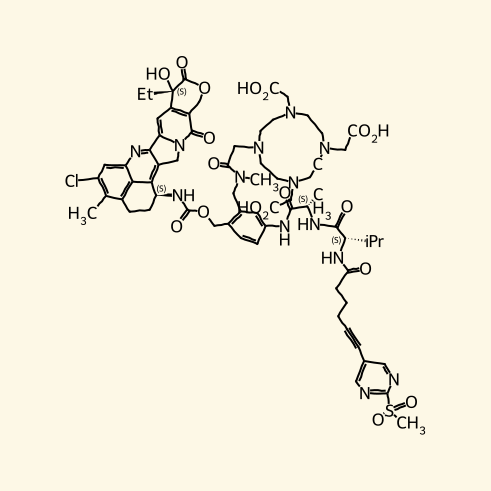 CC[C@@]1(O)C(=O)OCc2c1cc1n(c2=O)Cc2c-1nc1cc(Cl)c(C)c3c1c2[C@@H](NC(=O)OCc1ccc(NC(=O)[C@H](C)NC(=O)[C@@H](NC(=O)CCCC#Cc2cnc(S(C)(=O)=O)nc2)C(C)C)cc1CN(C)C(=O)CN1CCN(CC(=O)O)CCN(CC(=O)O)CCN(CC(=O)O)CC1)CC3